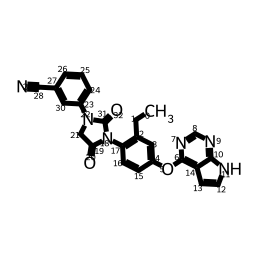 CCc1cc(Oc2ncnc3[nH]ccc23)ccc1N1C(=O)CN(c2cccc(C#N)c2)C1=O